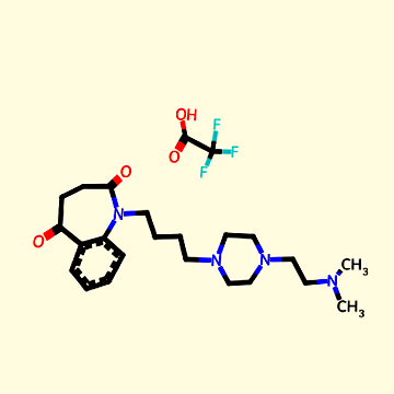 CN(C)CCN1CCN(CCCCN2C(=O)CCC(=O)c3ccccc32)CC1.O=C(O)C(F)(F)F